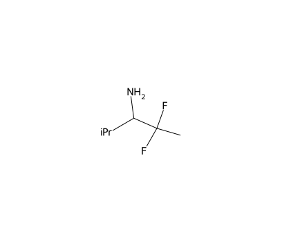 CC(C)C(N)C(C)(F)F